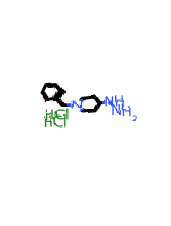 Cl.Cl.NNC1CCN(Cc2ccccc2)CC1